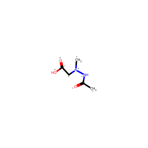 CC(=O)NN(C)CC(=O)O